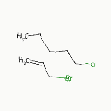 C=CCBr.CCCCCCl